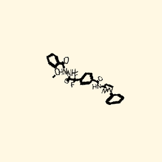 COc1ccccc1C(=O)NNC(=O)C(F)(F)c1ccc(C(=O)Nc2[c]cn(-c3ccccc3)n2)cc1